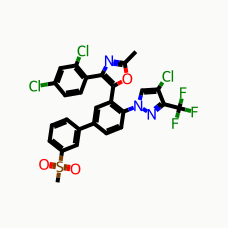 Cc1nc(-c2ccc(Cl)cc2Cl)c(-c2cc(-c3cccc(S(C)(=O)=O)c3)ccc2-n2cc(Cl)c(C(F)(F)F)n2)o1